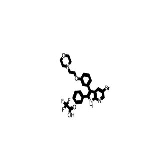 Brc1cnc2[nH]c(-c3ccccc3)c(-c3cccc(OCCN4CCOCC4)c3)c2c1.O=C(O)C(F)(F)F